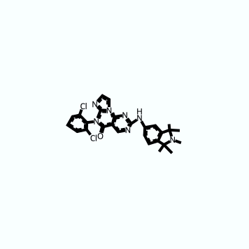 CN1C(C)(C)c2ccc(Nc3ncc4c(=O)n(-c5c(Cl)cccc5Cl)c5nccn5c4n3)cc2C1(C)C